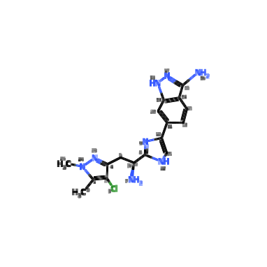 Cc1c(Cl)c(C[C@H](N)c2nc(-c3ccc4c(N)n[nH]c4c3)c[nH]2)nn1C